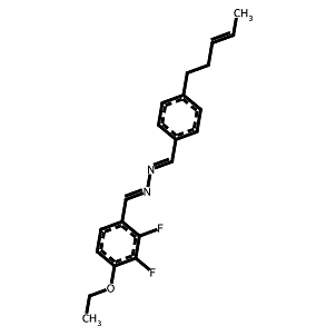 CC=CCCc1ccc(C=NN=Cc2ccc(OCC)c(F)c2F)cc1